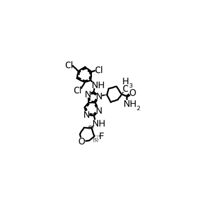 C[C@]1(C(N)=O)CC[C@@H](n2c(Nc3c(Cl)cc(Cl)cc3Cl)nc3cnc(N[C@@H]4CCOC[C@H]4F)nc32)CC1